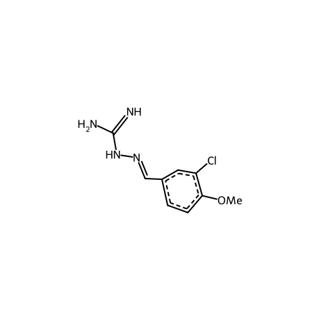 COc1ccc(/C=N/NC(=N)N)cc1Cl